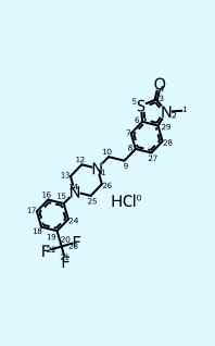 Cl.Cn1c(=O)sc2cc(CCN3CCN(c4cccc(C(F)(F)F)c4)CC3)ccc21